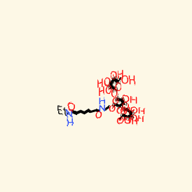 CCNC(=O)CCCCCCC(=O)NCCO[C@H]1O[C@H](CO[C@H]2O[C@H](CO)[C@@H](O)[C@H](O)[C@@H]2O)[C@@H](O)[C@H](O[C@H]2O[C@H](CO)[C@@H](O)[C@H](O)[C@@H]2O)[C@@H]1O